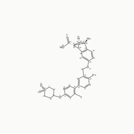 Cc1cc(OC2CCS(=O)(=O)CC2)ncc1-c1ccc(F)c(COc2ccc3c(c2)C2[C@@H]4[C@H]3[C@@]24C(=O)O)c1